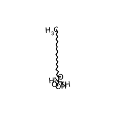 CCCCCCCCCCCCCCCCCCCC(=O)NC(CS)C(=O)O